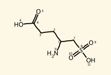 NC(CCC(=O)O)CS(=O)(=O)O